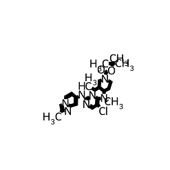 CCC1CN(C(=O)OC(C)(C)C)CCC1N(C)c1nc(Nc2ccn3cc(C)nc3c2)ncc1Cl